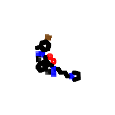 Cc1cc(Br)ccc1NC(=O)[C@H]1[C@H](C(=O)NCCCCN2CCCC2)[C@H]2C=C[C@@H]1C21CC1